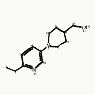 CCc1ccc(N2CCC(CO)CC2)cn1